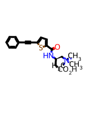 C[N+](C)(C)C[C@@H](CC(=O)O)NC(=O)c1ccc(C#Cc2ccccc2)s1